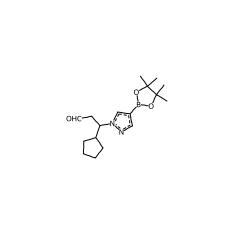 CC1(C)OB(c2cnn(C(CC=O)C3CCCC3)c2)OC1(C)C